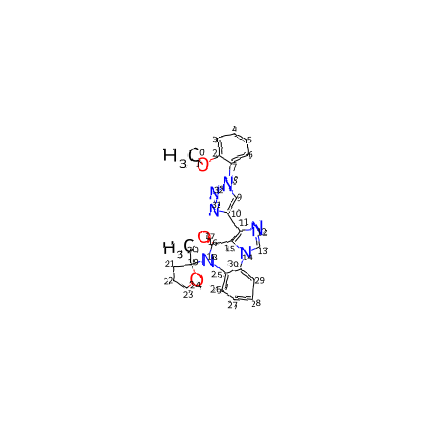 COc1ccccc1-n1cc(-c2ncn3c2c(=O)n(C2(C)CCCO2)c2ccccc23)nn1